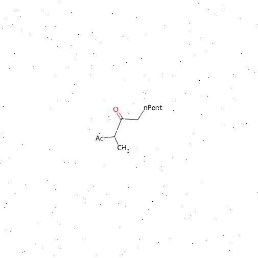 CCCCCCC(=O)C(C)C(C)=O